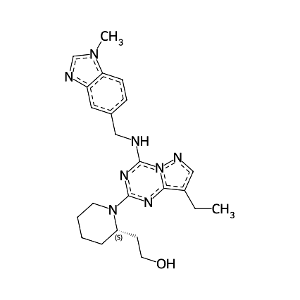 CCc1cnn2c(NCc3ccc4c(c3)ncn4C)nc(N3CCCC[C@H]3CCO)nc12